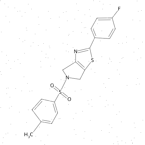 Cc1ccc(S(=O)(=O)N2Cc3nc(-c4ccc(F)cc4)sc3C2)cc1